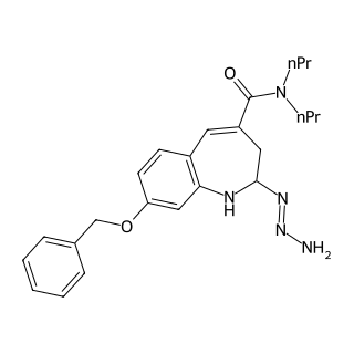 CCCN(CCC)C(=O)C1=Cc2ccc(OCc3ccccc3)cc2NC(N=NN)C1